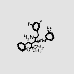 CCc1cccc(CNCC(C(N)Cc2cc(F)cc(F)c2)C2Cc3ccccc3OC2(C)C)c1